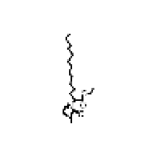 CCCCCCCCCCCCC(C(=O)OCC)n1ccn(C)c1=O